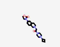 O=C(CN1CCc2cc(N3CCOC3=O)ccc2C1)N1CCN(C2CCC2)CC1